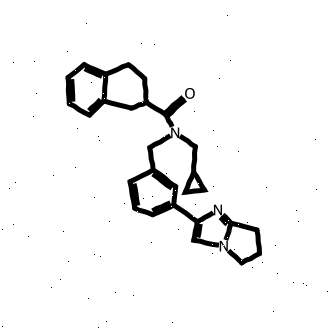 O=C(C1CCc2ccccc2C1)N(Cc1cccc(-c2cn3c(n2)CCC3)c1)CC1CC1